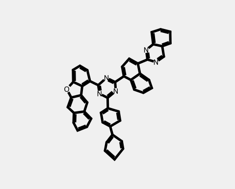 c1ccc(-c2ccc(-c3nc(-c4ccc(-c5ncc6ccccc6n5)c5ccccc45)nc(-c4cccc5oc6cc7ccccc7cc6c45)n3)cc2)cc1